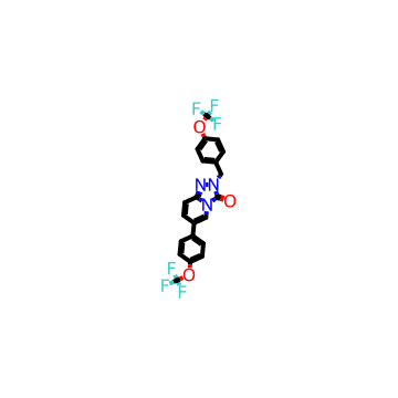 O=c1n(Cc2ccc(OC(F)(F)F)cc2)nc2ccc(-c3ccc(OC(F)(F)F)cc3)cn12